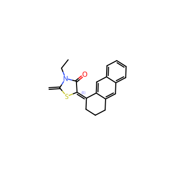 C=c1s/c(=C2\CCCc3cc4ccccc4cc32)c(=O)n1CC